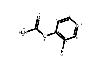 NC(=O)Oc1ccncc1F